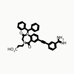 N=C(N)c1cccc(C#Cc2ccc3c(c2)C(=O)N(CCC(=O)O)CC(=O)N3C(c2ccccc2)c2ccccc2)c1